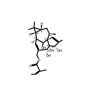 C/C=C(/C)C(=O)OCC1=C[C@@H]2C(O)[C@]3(C=C(C)[C@H](O)[C@@]3(O)[C@@H]1O)[C@H](C)C[C@@H]1[C@H]2C1(C)C